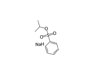 CC(C)OS(=O)(=O)c1ccccc1.[NaH]